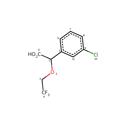 O=C(O)C(OCC(F)(F)F)c1cccc(Cl)c1